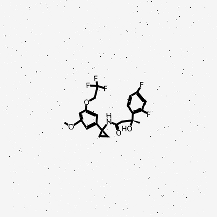 COc1cc(OCC(F)(F)F)cc(C2(NC(=O)C[C@@](C)(O)c3ccc(F)cc3F)CC2)c1